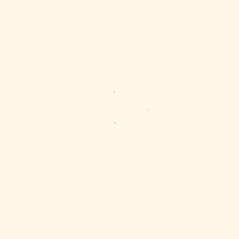 CC(C)(C)OC(=O)N1CC(O)C(NC(=O)c2ccc(C(F)(F)F)cc2)C1